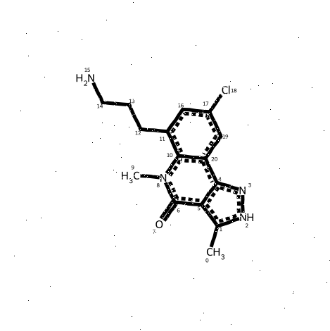 Cc1[nH]nc2c1c(=O)n(C)c1c(CCCN)cc(Cl)cc21